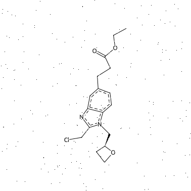 CCOC(=O)CCc1ccc2c(c1)nc(CCl)n2C[C@@H]1CCO1